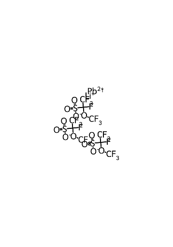 O=S(=O)([O-])C(F)(OC(F)(F)F)C(F)(F)F.O=S(=O)([O-])C(F)(OC(F)(F)F)C(F)(F)F.O=S(=O)([O-])C(F)(OC(F)(F)F)C(F)(F)F.[Li+].[Pb+2]